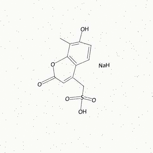 Cc1c(O)ccc2c(CS(=O)(=O)O)cc(=O)oc12.[NaH]